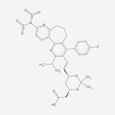 CC(C)c1nc2c(c(-c3ccc(F)cc3)c1/C=C/[C@@H]1C[C@H](CC(=O)O)OC(C)(C)O1)CCCc1nc(N([SH](=O)=O)[SH](=O)=O)ccc1-2